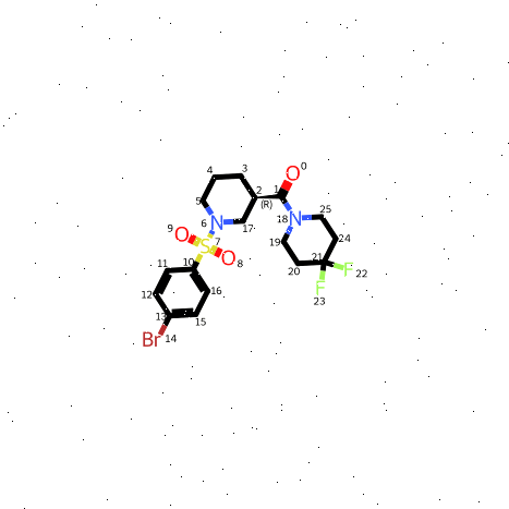 O=C([C@@H]1CCCN(S(=O)(=O)c2ccc(Br)cc2)C1)N1CCC(F)(F)CC1